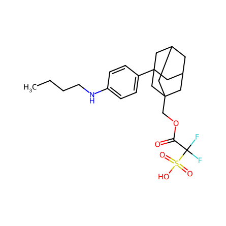 CCCCNc1ccc(C23CC4CC(CC(COC(=O)C(F)(F)S(=O)(=O)O)(C4)C2)C3)cc1